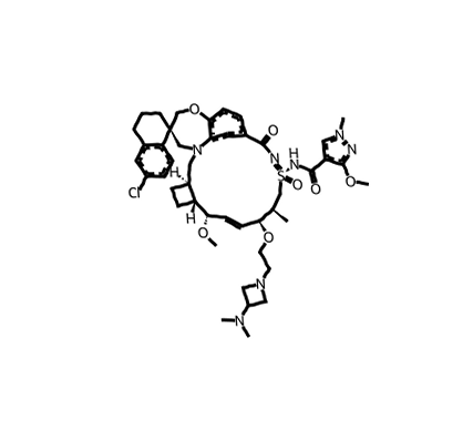 COc1nn(C)cc1C(=O)N[S@@]1(=O)=NC(=O)c2ccc3c(c2)N(C[C@@H]2CC[C@H]2[C@@H](OC)/C=C/[C@H](OCCN2CC(N(C)C)C2)[C@H](C)C1)C[C@@]1(CCCc2cc(Cl)ccc21)CO3